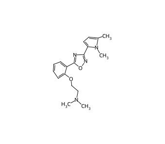 Cc1ccc(-c2noc(-c3ccccc3OCCN(C)C)n2)n1C